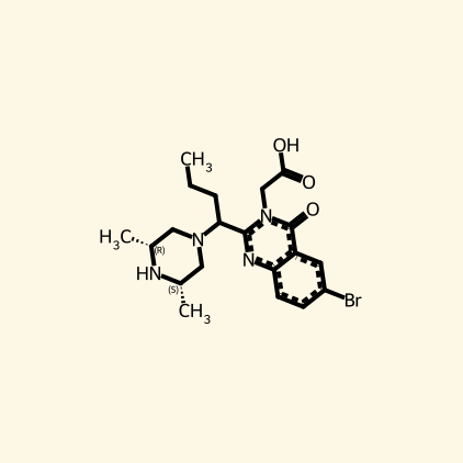 CCCC(c1nc2ccc(Br)cc2c(=O)n1CC(=O)O)N1C[C@@H](C)N[C@@H](C)C1